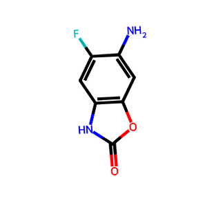 Nc1cc2oc(=O)[nH]c2cc1F